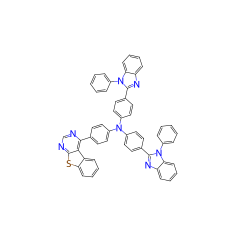 c1ccc(-n2c(-c3ccc(N(c4ccc(-c5ncnc6sc7ccccc7c56)cc4)c4ccc(-c5nc6ccccc6n5-c5ccccc5)cc4)cc3)nc3ccccc32)cc1